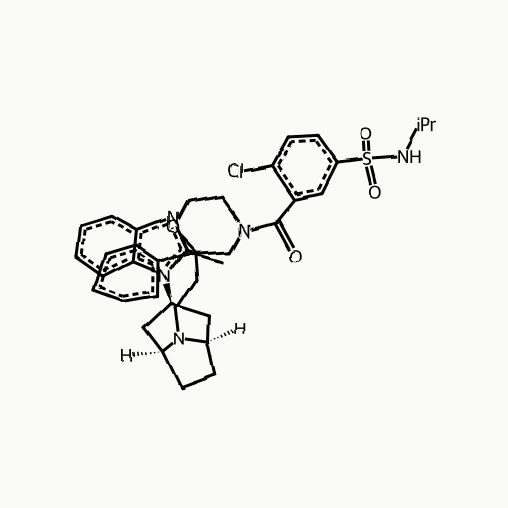 Cc1nc2ccccc2n1[C@H]1C[C@H]2CC[C@@H](C1)N2CCC1(c2ccccc2)CN(C(=O)c2cc(S(=O)(=O)NC(C)C)ccc2Cl)CCO1